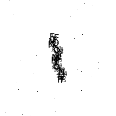 FC(F)c1nnc(-c2ccc(Cn3cc(-c4cccc(CN5CCC(F)(F)CC5)c4)nn3)nc2)o1